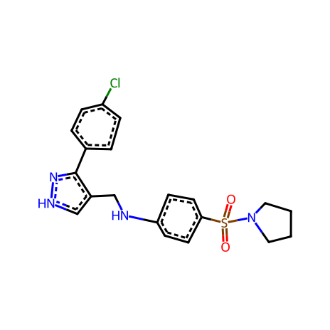 O=S(=O)(c1ccc(NCc2c[nH]nc2-c2ccc(Cl)cc2)cc1)N1CCCC1